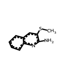 CSc1cc2ccccc2nc1N